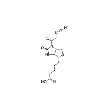 [N-]=[N+]=NCC(=O)N1C(=O)NC2C1CS[C@H]2CCCCC(=O)O